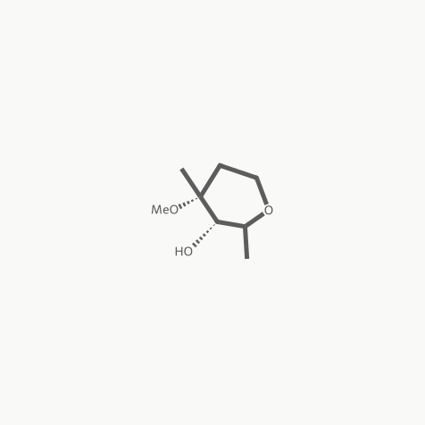 CO[C@]1(C)CCOC(C)[C@@H]1O